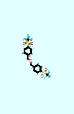 O=S(=O)(c1ccc(COCc2ccc(S(=O)(=O)C(F)(F)F)cc2)cc1)C(F)(F)F